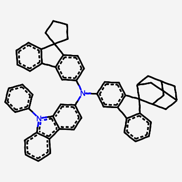 c1ccc(-n2c3ccccc3c3ccc(N(c4ccc5c(c4)-c4ccccc4C54CCCC4)c4ccc5c(c4)-c4ccccc4C54C5CC6CC(C5)CC4C6)cc32)cc1